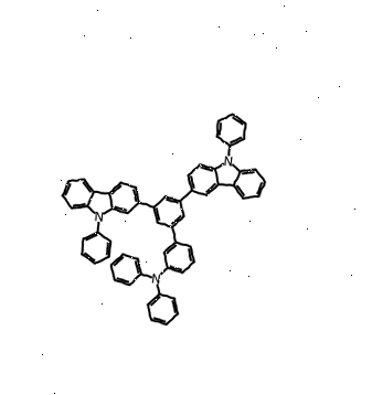 c1ccc(N(c2ccccc2)c2cccc(-c3cc(-c4ccc5c(c4)c4ccccc4n5-c4ccccc4)cc(-c4ccc5c6ccccc6n(-c6ccccc6)c5c4)c3)c2)cc1